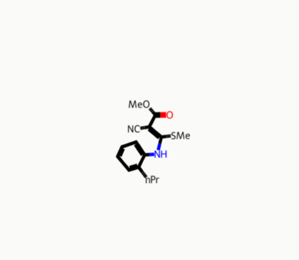 CCCc1ccccc1NC(SC)=C(C#N)C(=O)OC